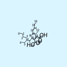 CCCCC(CC)CC(CC(CC)CCCC)/C(=C/C(=O)O)C(=O)O